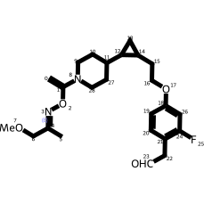 C=C(O/N=C(\C)COC)N1CCC(C2CC2CCOc2ccc(CC=O)c(F)c2)CC1